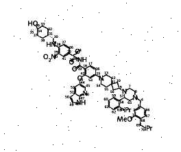 COc1cc(CN2CCN(C3CC4(CCN(c5ccc(C(=O)NS(=O)(=O)c6ccc(NC[C@H]7CC[C@](C)(O)CC7)c([N+](=O)[O-])c6)c(Oc6cnc7[nH]ccc7c6)c5)CC4)C3)[C@H](c3ccccc3C(C)C)C2)ccc1CC(C)C